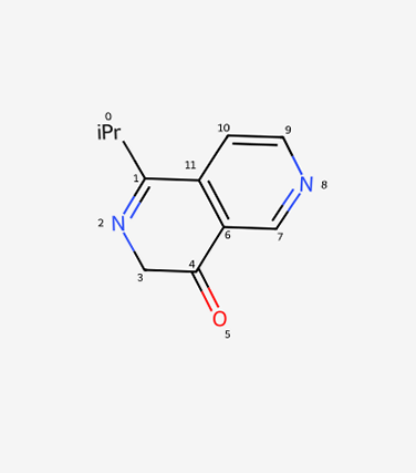 CC(C)C1=NCC(=O)c2cnccc21